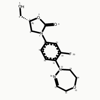 O=C1O[C@@H](CO)CN1c1ccc(N2CCOCC=N2)c(F)c1